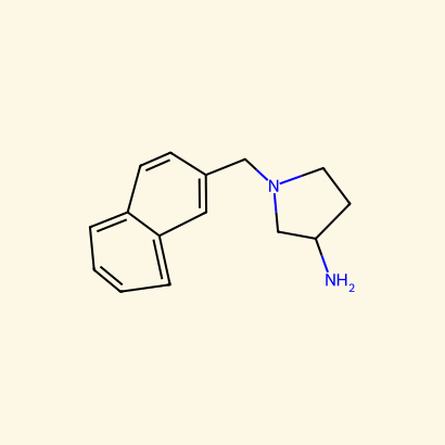 NC1CCN(Cc2ccc3ccccc3c2)C1